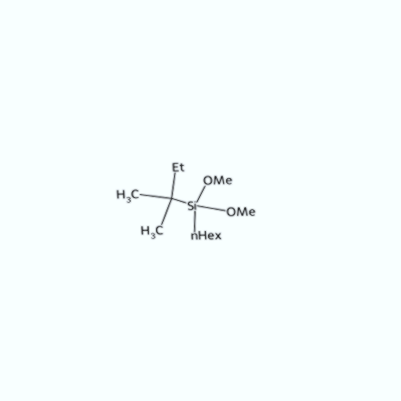 CCCCCC[Si](OC)(OC)C(C)(C)CC